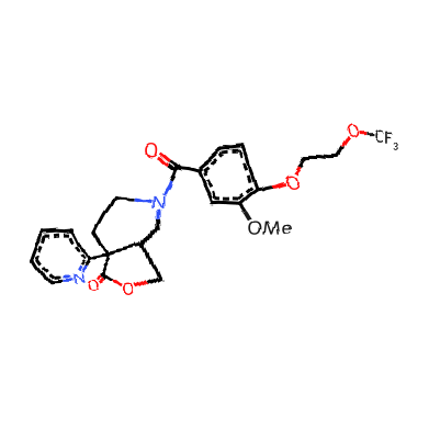 COc1cc(C(=O)N2CCC3(c4ccccn4)C(=O)OCC3C2)ccc1OCCOC(F)(F)F